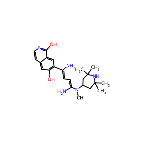 CN(/C(N)=C/C=C(\N)c1cc2c(O)nccc2cc1O)C1CC(C)(C)NC(C)(C)C1